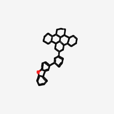 c1cc(-c2ccc3oc4ccccc4c3c2)cc(C2CC3C4CCCCC4C4CCCC5C6CCCCC6C(C2)C3C45)c1